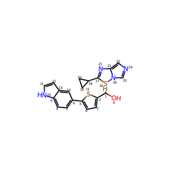 OC(c1ccc(-c2ccc3[nH]ccc3c2)s1)[SH]1C(C2CC2)=Nc2cncn21